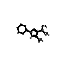 CN(C)c1cn(C2CCCCC2)nc1N